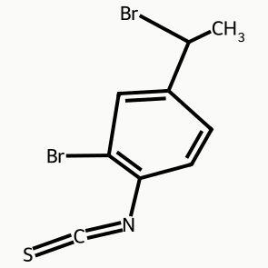 CC(Br)c1ccc(N=C=S)c(Br)c1